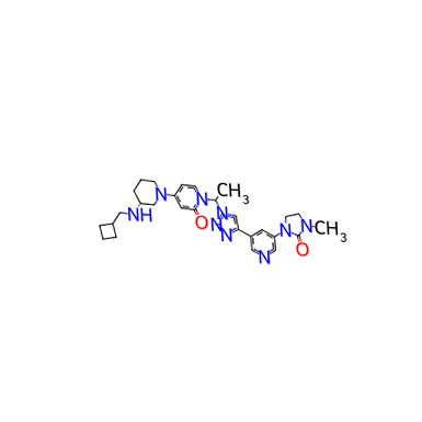 CC(n1cc(-c2cncc(N3CCN(C)C3=O)c2)nn1)n1ccc(N2CCC[C@@H](NCC3CCC3)C2)cc1=O